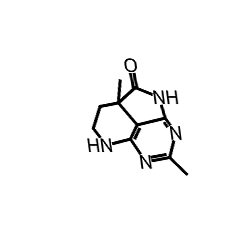 Cc1nc2c3c(n1)NC(=O)C3(C)CCN2